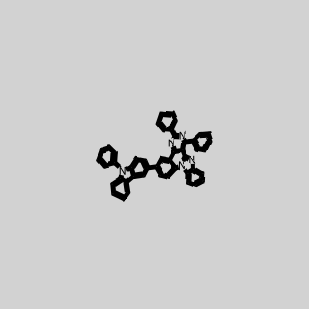 c1ccc(-c2nc(-c3ccccc3)c3c(n2)c2cc(-c4ccc5c(c4)c4ccccc4n5-c4ccccc4)ccc2n2c4ccccc4nc32)cc1